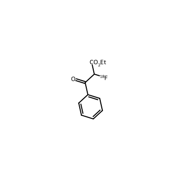 CCOC(=O)C([18F])C(=O)c1ccccc1